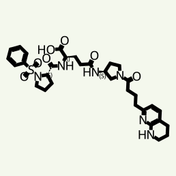 O=C(CC[C@@H](NC(=O)[C@@H]1CCCN1S(=O)(=O)c1ccccc1)C(=O)O)N[C@H]1CCN(C(=O)CCCc2ccc3c(n2)NCCC3)C1